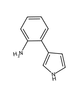 Nc1ccccc1-c1cc[nH]c1